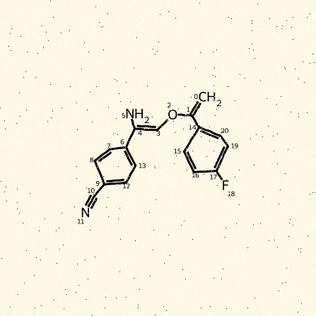 C=C(O/C=C(\N)c1ccc(C#N)cc1)c1ccc(F)cc1